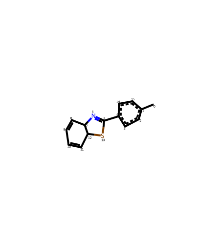 Cc1ccc(C2=NC3C=CC=CC3S2)cc1